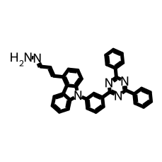 NN=C/C=C/c1cccc2c1c1ccccc1n2-c1cccc(-c2nc(-c3ccccc3)nc(-c3ccccc3)n2)c1